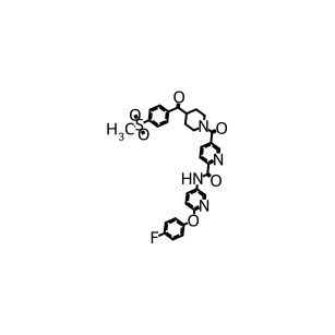 CS(=O)(=O)c1ccc(C(=O)C2CCN(C(=O)c3ccc(C(=O)Nc4ccc(Oc5ccc(F)cc5)nc4)nc3)CC2)cc1